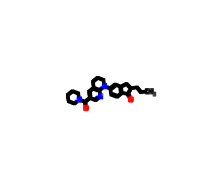 CCCC1Cc2cc(N3CCCc4cc(C(=O)N5CCCCC5)cnc43)ccc2C1=O